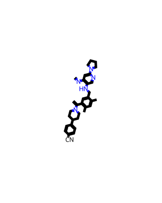 C=Nc1cc(N2CCCC2)ncc1NCc1cc(C(=C)N2CCC(c3ccc(C#N)cc3)CC2)c(C)cc1C